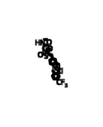 O=C1S/C(=C\c2ccc3c(cnn3Cc3ccc(C(F)(F)F)cc3Cl)c2)C(=O)N1C[C@@H]1COCCN1